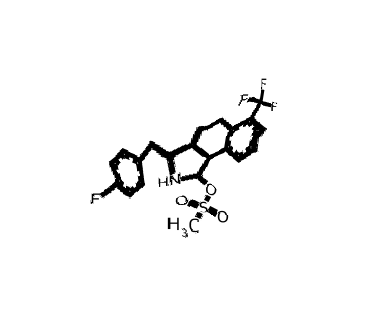 CS(=O)(=O)OC1NC(Cc2ccc(F)cc2)C2CCc3c(cccc3C(F)(F)F)C12